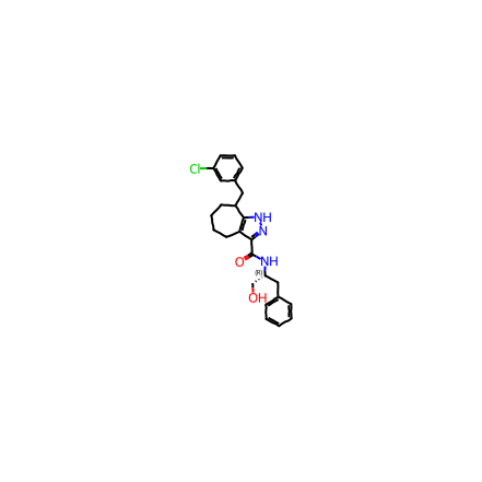 O=C(N[C@@H](CO)Cc1ccccc1)c1n[nH]c2c1CCCCC2Cc1cccc(Cl)c1